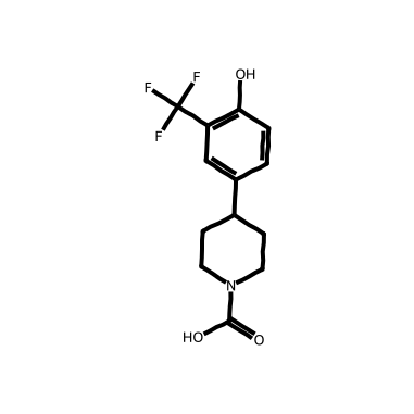 O=C(O)N1CCC(c2ccc(O)c(C(F)(F)F)c2)CC1